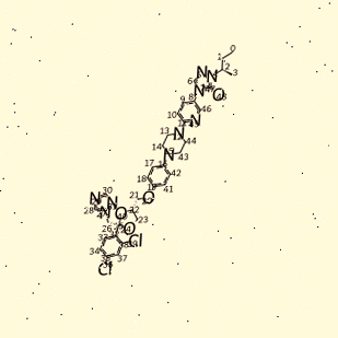 CC[C@@H](C)n1ncn(-c2ccc(N3CCN(c4ccc(OC[C@@H]5CO[C@@](Cn6cncn6)(c6ccc(Cl)cc6Cl)O5)cc4)CC3)nc2)c1=O